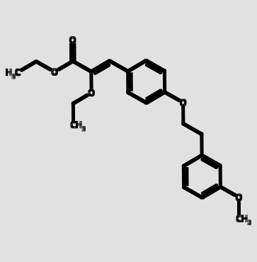 CCOC(=O)/C(=C/c1ccc(OCCc2cccc(OC)c2)cc1)OCC